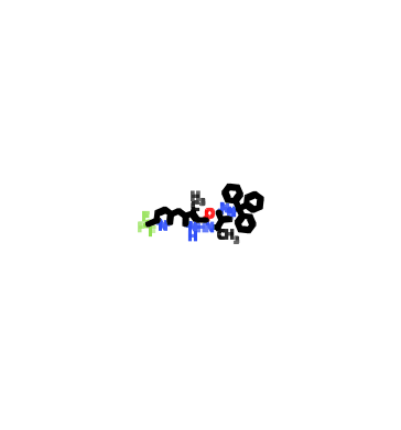 Cc1c(Cc2ccc(C(F)(F)F)nc2)c[nH]c1C(=O)NC(C)c1cnn(C(c2ccccc2)(c2ccccc2)c2ccccc2)c1